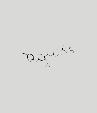 CC(C)Nc1cc(Nc2ccc(C#N)cn2)ncc1C(=O)NC1CCC(C(=O)N[C@H]2C[C@H]2F)CC1